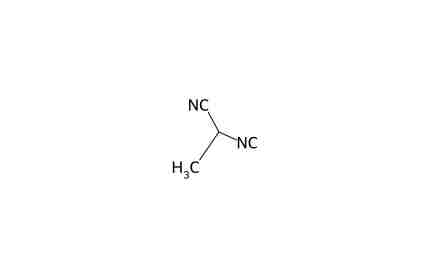 [C-]#[N+]C(C)C#N